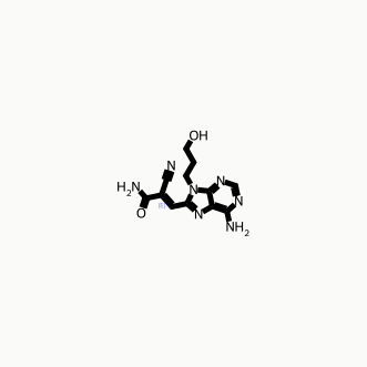 N#C/C(=C\c1nc2c(N)ncnc2n1CCCO)C(N)=O